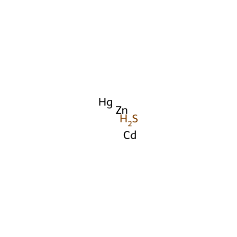 S.[Cd].[Hg].[Zn]